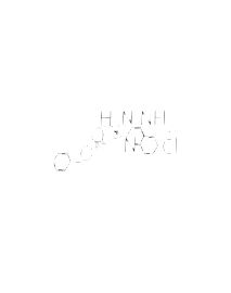 Nc1c([C@H]2CCO[C@@H](COCc3ccccc3)C2)nc2ccc(Cl)cc2c1N